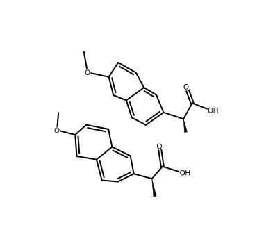 COc1ccc2cc([C@H](C)C(=O)O)ccc2c1.COc1ccc2cc([C@H](C)C(=O)O)ccc2c1